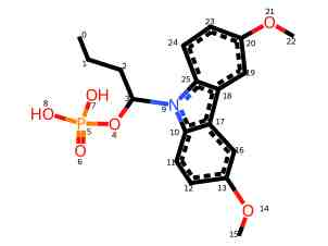 CCCC(OP(=O)(O)O)n1c2ccc(OC)cc2c2cc(OC)ccc21